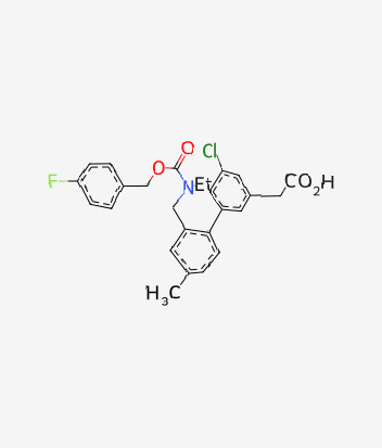 CCN(Cc1cc(C)ccc1-c1cc(Cl)cc(CC(=O)O)c1)C(=O)OCc1ccc(F)cc1